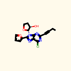 CCC#Cc1nc(Cl)c2nc(-c3ccco3)n([C@@H]3OCC[C@H]3O)c2n1